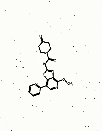 COc1ncc(-c2ccccc2)c2sc(NC(=O)N3CCC(=O)CC3)nc12